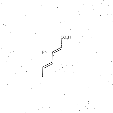 C/C=C/C=C/C(=O)O.[Pr]